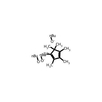 CC1=C(C)C(C)(C)[C]([Ti+3])=C1C.CCCC[O-].CCCC[O-].CCCC[O-]